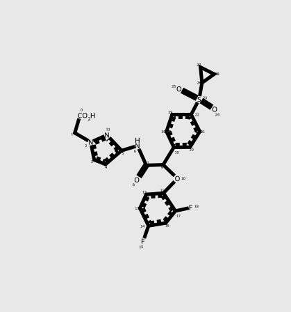 O=C(O)Cn1ccc(NC(=O)C(Oc2ccc(F)cc2F)c2ccc(S(=O)(=O)C3CC3)cc2)n1